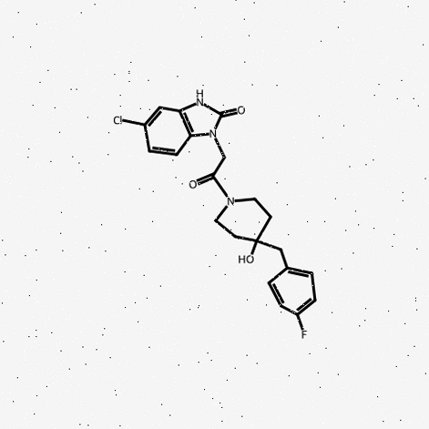 O=C(Cn1c(=O)[nH]c2cc(Cl)ccc21)N1CCC(O)(Cc2ccc(F)cc2)CC1